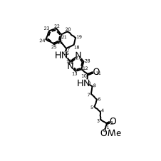 COC(=O)CCCCCCNC(=O)c1cnc(NC2CCCc3ccccc32)nc1